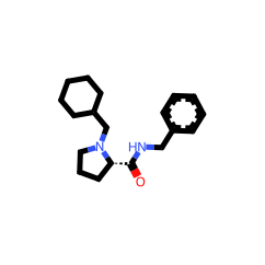 O=C(NCc1ccccc1)[C@@H]1CCCN1CC1CCCCC1